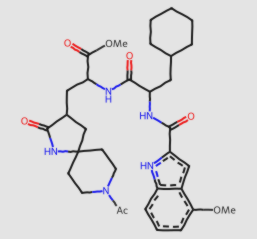 COC(=O)C(CC1CC2(CCN(C(C)=O)CC2)NC1=O)NC(=O)C(CC1CCCCC1)NC(=O)c1cc2c(OC)cccc2[nH]1